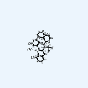 Cc1c(-c2nc3c(Cl)cccc3cc2[C@@H](Nc2ncnc3cccnc23)C(F)(F)F)ccc[n+]1[O-]